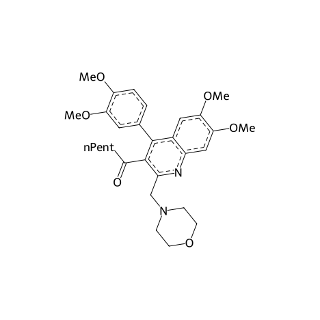 CCCCCC(=O)c1c(CN2CCOCC2)nc2cc(OC)c(OC)cc2c1-c1ccc(OC)c(OC)c1